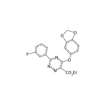 CCOC(=O)c1nnc(-c2cccc(F)c2)nc1Oc1ccc2c(c1)OCO2